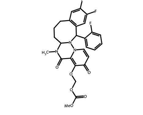 COC(=O)OCOc1c2n(ccc1=O)N1C(c3ccccc3F)c3cc(F)c(F)cc3CCCC1N(C)C2=O